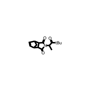 CC(C(=O)C(C)(C)C)N1C(=O)C2C3C=CC(C3)C2C1=O